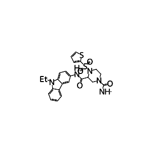 CCn1c2ccccc2c2cc(NC(=O)C3CN(C([NH])=O)CCN3S(=O)(=O)c3cccs3)ccc21